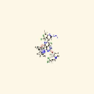 Cc1nc(N)cc(-c2nc3c4c(nc(OC[C@@]56CCCN5CC5(CC5(F)F)C6)nc4c2F)N2C[C@H]4CC[C@H](N4)[C@H]2[C@H](C)O3)c1C(F)(F)F